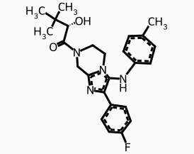 Cc1ccc(Nc2c(-c3ccc(F)cc3)nc3n2CCN(C(=O)[C@@H](O)C(C)(C)C)C3)cc1